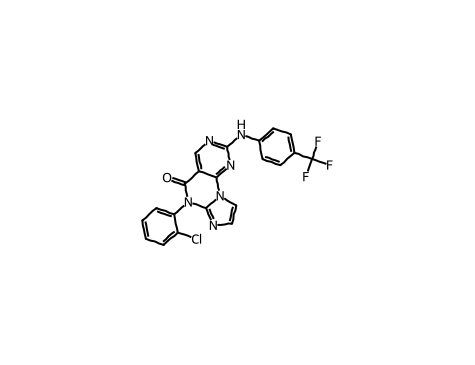 O=c1c2cnc(Nc3ccc(C(F)(F)F)cc3)nc2n2ccnc2n1-c1ccccc1Cl